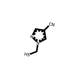 N#Cc1cnn(CS)c1